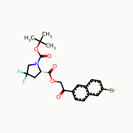 CC(C)(C)OC(=O)N1CC(F)(F)C[C@H]1C(=O)OCC(=O)c1ccc2cc(Br)ccc2c1